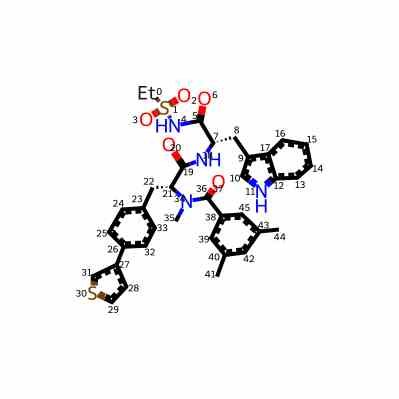 CCS(=O)(=O)NC(=O)[C@H](Cc1c[nH]c2ccccc12)NC(=O)[C@@H](Cc1ccc(-c2ccsc2)cc1)N(C)C(=O)c1cc(C)cc(C)c1